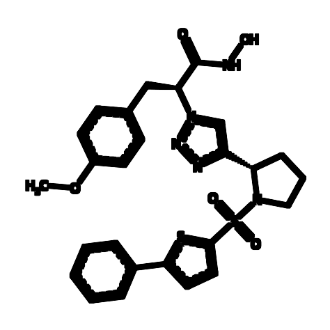 COc1ccc(C[C@@H](C(=O)NO)n2cc([C@@H]3CCCN3S(=O)(=O)c3ccc(-c4ccccc4)s3)nn2)cc1